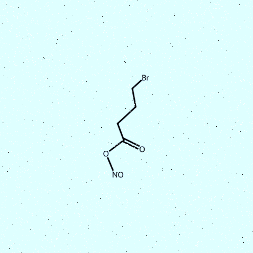 O=NOC(=O)CCCBr